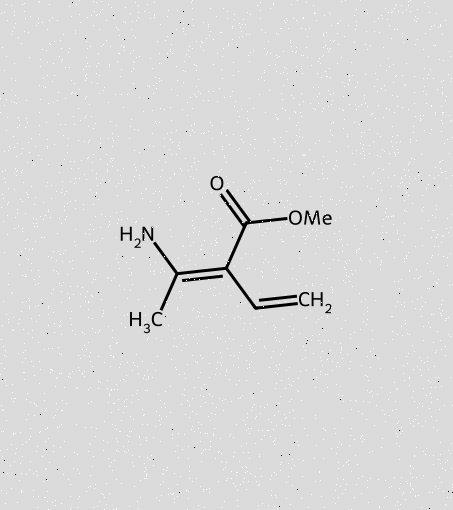 C=C/C(C(=O)OC)=C(\C)N